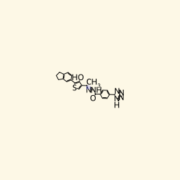 C/C(=N\NC(=O)c1ccc(-c2nnn[nH]2)cc1)c1csc(-c2ccc3c(c2)CCC3)c1O